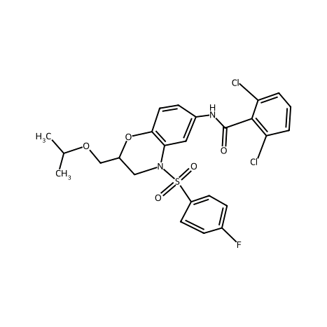 CC(C)OCC1CN(S(=O)(=O)c2ccc(F)cc2)c2cc(NC(=O)c3c(Cl)cccc3Cl)ccc2O1